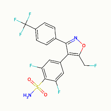 NS(=O)(=O)c1c(F)cc(-c2c(-c3ccc(C(F)(F)F)cc3)noc2CF)cc1F